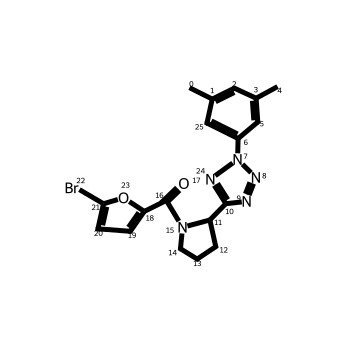 Cc1cc(C)cc(-n2nnc(C3CCCN3C(=O)c3ccc(Br)o3)n2)c1